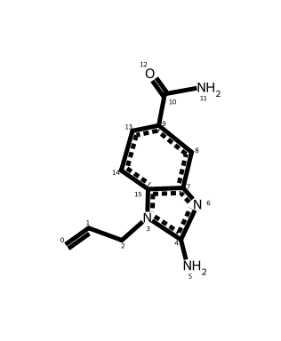 C=CCn1c(N)nc2cc(C(N)=O)ccc21